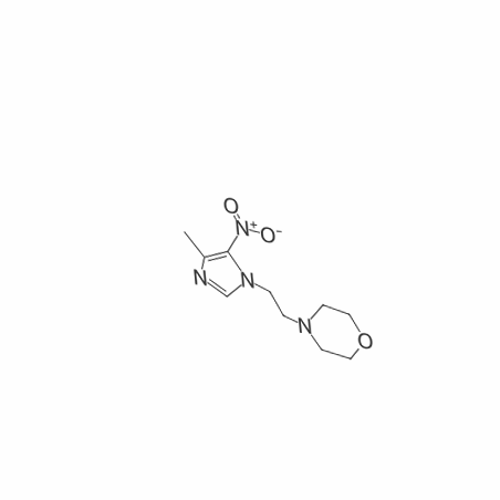 Cc1ncn(CCN2CCOCC2)c1[N+](=O)[O-]